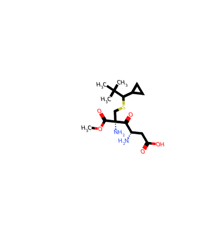 COC(=O)[C@@](N)(CSC(C1CC1)C(C)(C)C)C(=O)[C@@H](N)CC(=O)O